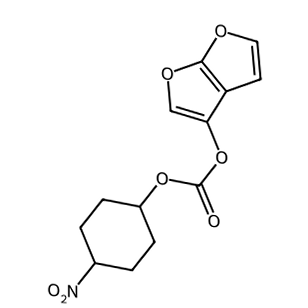 O=C(Oc1coc2occc12)OC1CCC([N+](=O)[O-])CC1